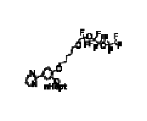 CCCCCCCOc1cc(-c2ncccn2)ccc1OCCCCCOCC(F)(F)OC(F)(F)C(F)(F)OC(F)(F)C(F)F